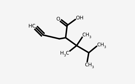 C#CCC(C(=O)O)C(C)(C)C(C)C